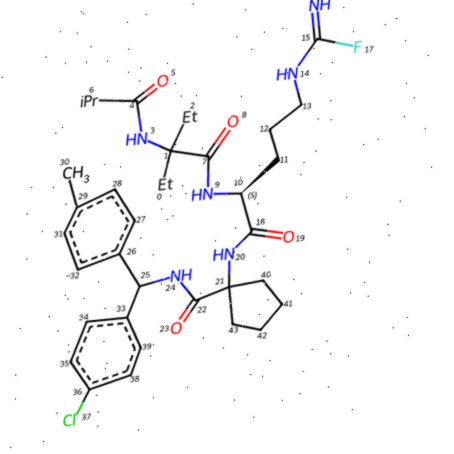 CCC(CC)(NC(=O)C(C)C)C(=O)N[C@@H](CCCNC(=N)F)C(=O)NC1(C(=O)NC(c2ccc(C)cc2)c2ccc(Cl)cc2)CCCC1